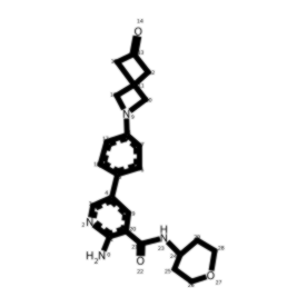 Nc1ncc(-c2ccc(N3CC4(CC(=O)C4)C3)cc2)cc1C(=O)NC1CCOCC1